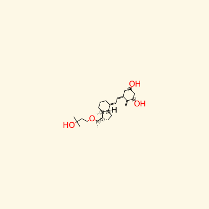 C=C1C(=CC=C2CCC[C@@]3(C)[C@@H]2CC[C@@H]3[C@H](C)OCCC(C)(C)O)C[C@@H](O)C[C@@H]1O